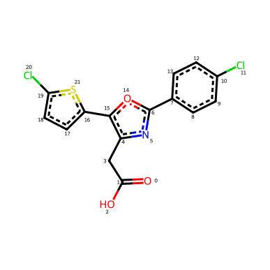 O=C(O)Cc1nc(-c2ccc(Cl)cc2)oc1-c1ccc(Cl)s1